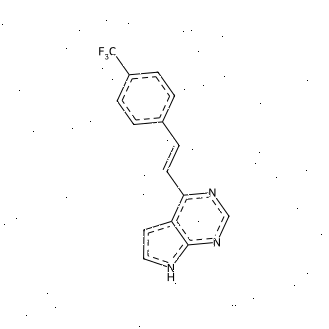 FC(F)(F)c1ccc(C=Cc2ncnc3[nH]ccc23)cc1